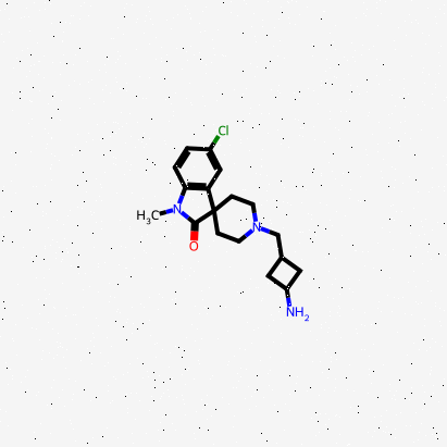 CN1C(=O)C2(CCN(CC3CC(N)C3)CC2)c2cc(Cl)ccc21